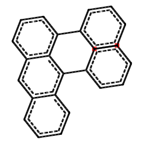 c1ccc(-c2cccc3cc4ccccc4c(-c4ccccc4)c23)cc1